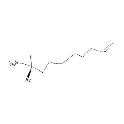 C=CCCCCCC[C@@](C)(N)C(C)=O